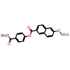 CCCCCCCCOc1ccc2cc(C(=O)Oc3ccc(C(=O)OC)cc3)ccc2c1